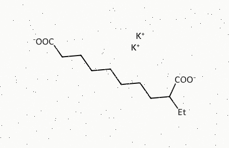 CCC(CCCCCCCC(=O)[O-])C(=O)[O-].[K+].[K+]